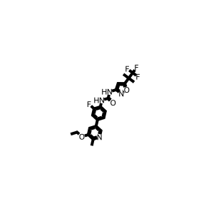 CCOc1cc(-c2ccc(NC(=O)Nc3cc(C(C)(C)C(F)(F)F)on3)c(F)c2)cnc1C